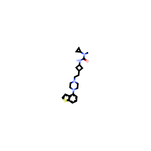 CN(C(=O)NC1CC(CCN2CCN(c3cccc4sccc34)CC2)C1)C1CC1